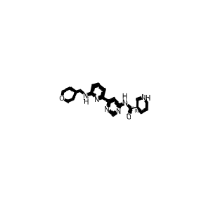 O=C(Nc1cc(-c2cccc(NCC3CCOCC3)n2)ncn1)[C@@H]1CCCNC1